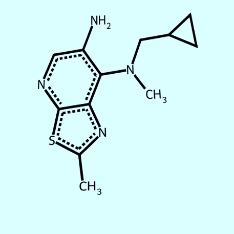 Cc1nc2c(N(C)CC3CC3)c(N)cnc2s1